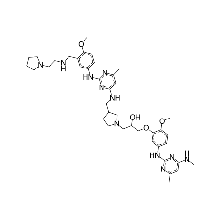 CNc1cc(C)nc(Nc2ccc(OC)c(OCC(O)CN3CCC(CNc4cc(C)nc(Nc5ccc(OC)c(CNCCN6CCCC6)c5)n4)C3)c2)n1